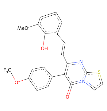 COc1cccc(C=Cc2nc3sccn3c(=O)c2-c2ccc(OC(F)(F)F)cc2)c1O